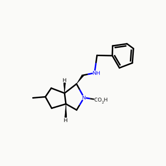 CC1C[C@H]2CN(C(=O)O)[C@H](CNCc3ccccc3)[C@H]2C1